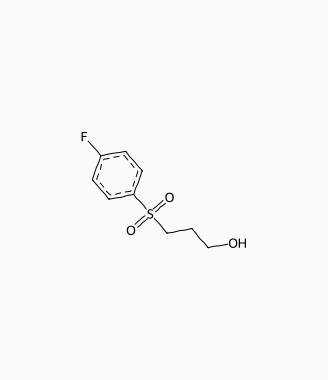 O=S(=O)(CCCO)c1ccc(F)cc1